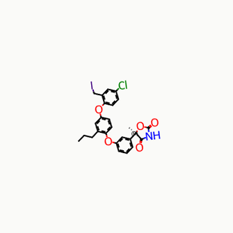 CCCc1cc(Oc2ccc(Cl)cc2CI)ccc1Oc1cccc([C@@]2(C)OC(=O)NC2=O)c1